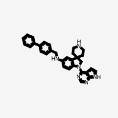 c1ccc(-c2ccc(CNc3ccc4c(c3)C3(CCNCC3)CN4c3ncnc4[nH]ccc34)cc2)cc1